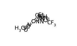 CCS(=O)(=O)c1cc2ccc(C=NOC[S+](C)[O-])cc2nc1-c1nc2cc(C(F)(F)F)cnc2n1C